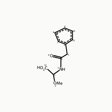 COC(NC(=O)Cc1ccccc1)C(=O)O